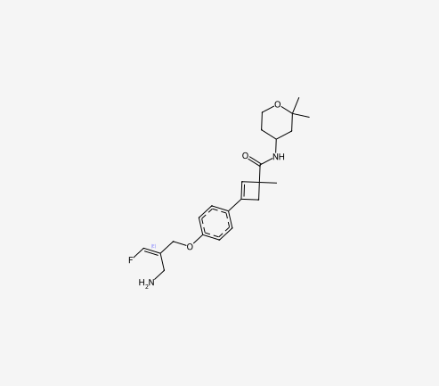 CC1(C)CC(NC(=O)C2(C)C=C(c3ccc(OC/C(=C/F)CN)cc3)C2)CCO1